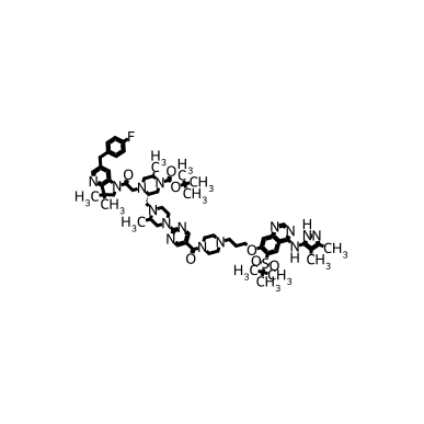 Cc1n[nH]c(Nc2ncnc3cc(OCCCN4CCN(C(=O)c5cnc(N6CCN(C[C@H]7CN(C(=O)OC(C)(C)C)[C@H](C)CN7CC(=O)N7CC(C)(C)c8ncc(Cc9ccc(F)cc9)cc87)C(C)C6)nc5)CC4)c(S(=O)(=O)C(C)(C)C)cc23)c1C